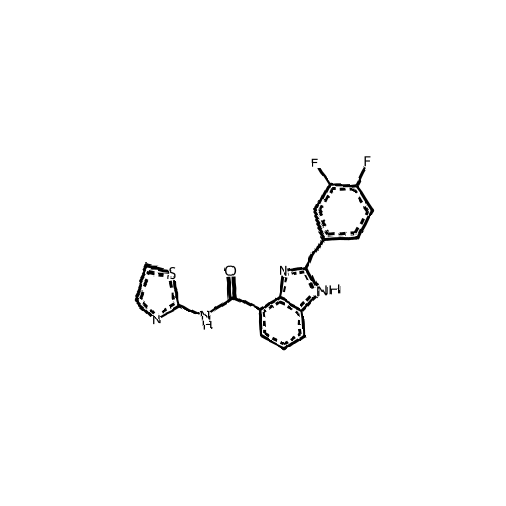 O=C(Nc1nccs1)c1cccc2[nH]c(-c3ccc(F)c(F)c3)nc12